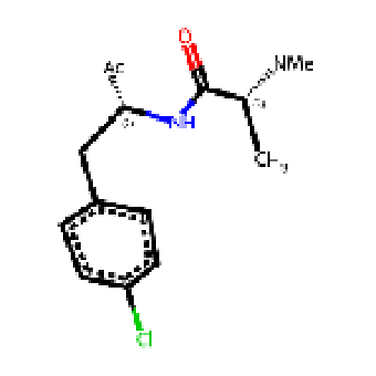 CN[C@H](C)C(=O)N[C@H](Cc1ccc(Cl)cc1)C(C)=O